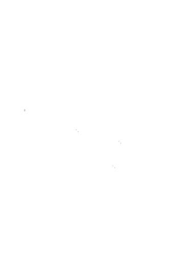 Cc1ccc(C2CC(C3=NC(CS(=O)(=O)C(C)C)=CC3)CN(C(=O)N3CCOCC3)C2)cc1C